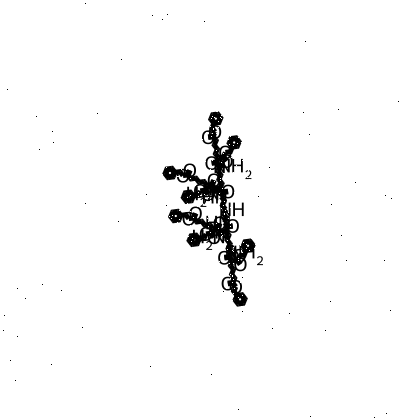 NN(CCCCC(C(=O)NCCNCCNC(=O)C(CCCCN(N)C(=O)C(CCCCC(=O)OCc1ccccc1)C(=O)OCc1ccccc1)N(N)C(=O)C(CCCCC(=O)OCc1ccccc1)C(=O)OCc1ccccc1)N(N)C(=O)C(CCCCC(=O)OCc1ccccc1)C(=O)OCc1ccccc1)C(=O)C(CCCCC(=O)OCc1ccccc1)C(=O)OCc1ccccc1